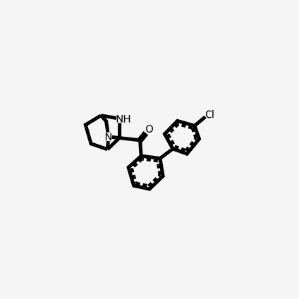 O=C(c1ccccc1-c1ccc(Cl)cc1)N1CC2CCC1CN2